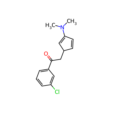 CN(C)C1=CC(CC(=O)c2cccc(Cl)c2)C=C1